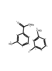 COC(=O)c1cccc(O)c1.O=Cc1cccc(F)c1